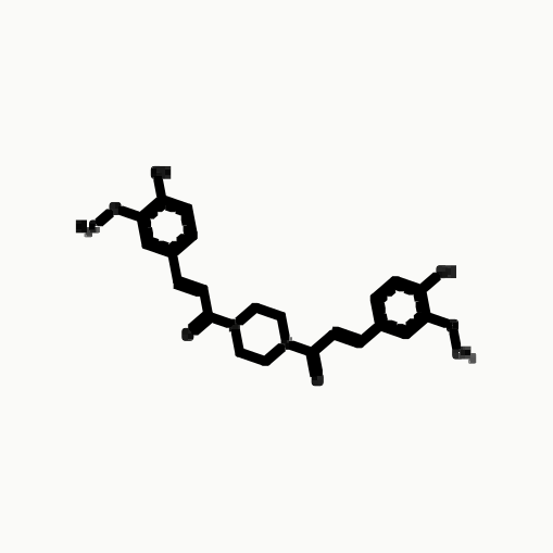 COc1cc(/C=C/C(=O)N2CCN(C(=O)/C=C/c3ccc(O)c(OC)c3)CC2)ccc1O